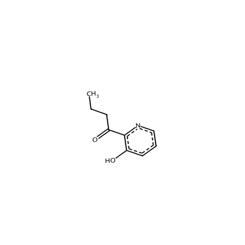 CCCC(=O)c1ncccc1O